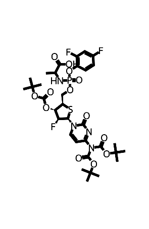 CC(NP(=O)(OC[C@H]1S[C@@H](n2ccc(N(C(=O)OC(C)(C)C)C(=O)OC(C)(C)C)nc2=O)[C@@H](F)[C@@H]1OC(=O)OC(C)(C)C)Oc1ccc(F)cc1F)C(=O)O